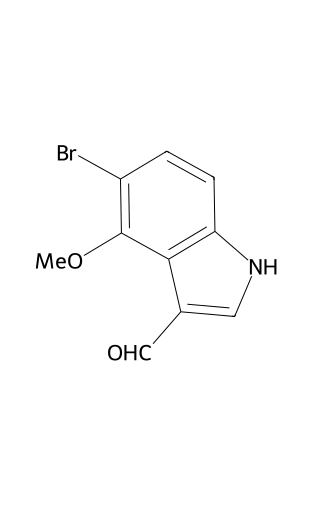 COc1c(Br)ccc2[nH]cc(C=O)c12